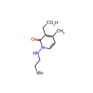 Cc1ccn(NCCC(C)(C)C)c(=O)c1CC(=O)O